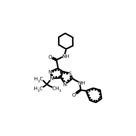 CC(C)(C)n1nc(C(=O)NC2CCCCC2)c2sc(NC(=O)c3ccccc3)nc21